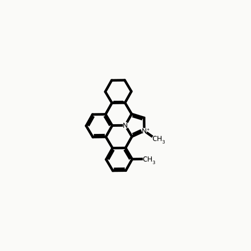 Cc1cccc2c3cccc4c3n3c(c[n+](C)c3c12)C12CCCCC41CCCC2